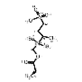 C=CC(=O)OC[N+](CCCC)(CCCC)C(C)CCS(=O)(=O)[O-]